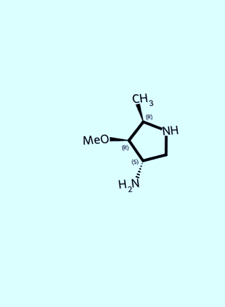 CO[C@@H]1[C@@H](N)CN[C@@H]1C